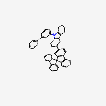 C1=CC2=C(CC1)c1ccc(C3=Cc4c5c(n(-c6cccc(-c7ccccc7)c6)c4CC3)CCC=C5)cc1C21c2ccccc2-c2ccccc21